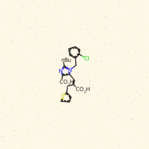 CCCCc1nc(C(=O)O)c(C=C(Cc2cccs2)C(=O)O)n1Cc1ccccc1Cl